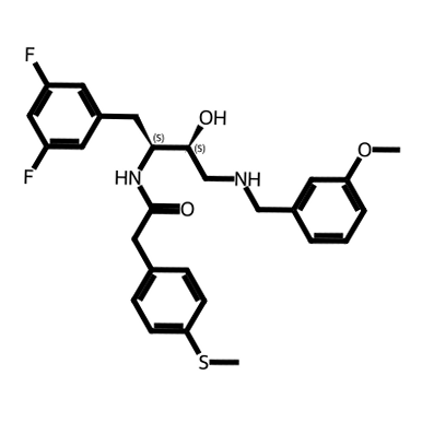 COc1cccc(CNC[C@H](O)[C@H](Cc2cc(F)cc(F)c2)NC(=O)Cc2ccc(SC)cc2)c1